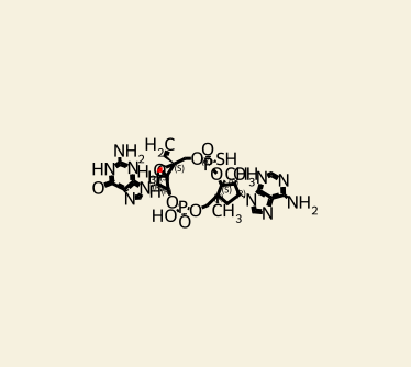 C=C[C@]12CO[P@@](=O)(S)O[C@]3(C)[C@@H](O)[C@H](n4cnc5c(N)ncnc54)C[C@]3(C)COP(=O)(O)O[C@@H]([C@H](n3cnc4c(=O)[nH]c(N)nc43)O1)[C@@H]2C